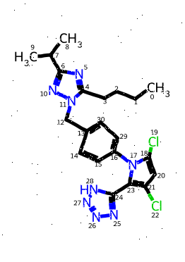 CCCCc1nc(C(C)C)nn1Cc1ccc(-n2c(Cl)cc(Cl)c2-c2nnn[nH]2)cc1